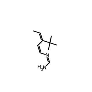 C\C=C(/C=C\N=C/N)C(C)(C)C